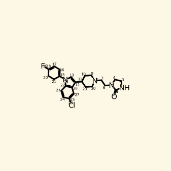 O=C1NCCN1CCN1CCC(c2cn(C3=CC=C(F)CC3)c3ccc(Cl)cc23)CC1